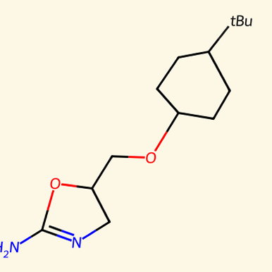 CC(C)(C)C1CCC(OCC2CN=C(N)O2)CC1